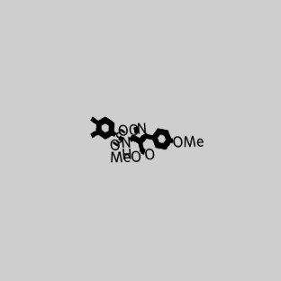 COC(=O)c1c(-c2ccc(OC)cc2)noc1NS(=O)(=O)c1ccc(C)c(C)c1